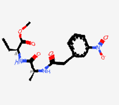 CC[C@H](NC(=O)[C@H](C)NC(=O)Cc1cccc([N+](=O)[O-])c1)C(=O)OC